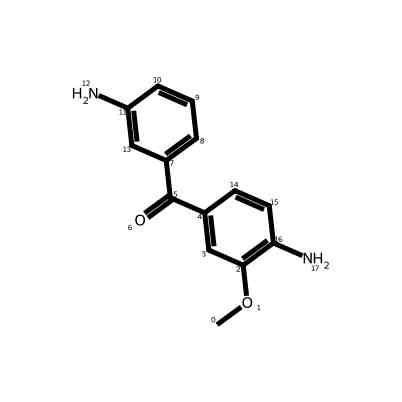 COc1cc(C(=O)c2cccc(N)c2)ccc1N